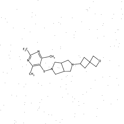 Cc1nc(C(F)(F)F)nc(C)c1SN1CC2CN(C3CC4(COC4)C3)CC2C1